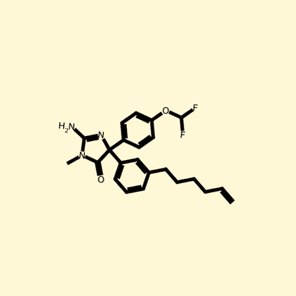 C=CCCCCc1cccc(C2(c3ccc(OC(F)F)cc3)N=C(N)N(C)C2=O)c1